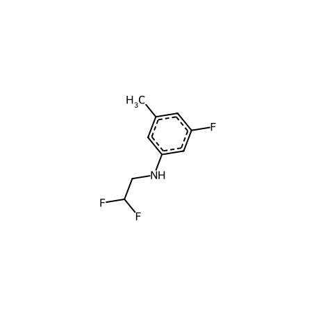 Cc1cc(F)cc(NCC(F)F)c1